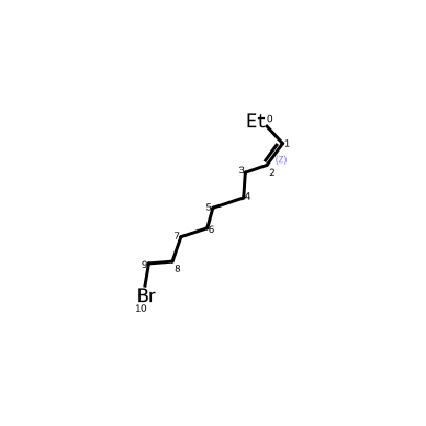 CC/C=C\CCCCCCCBr